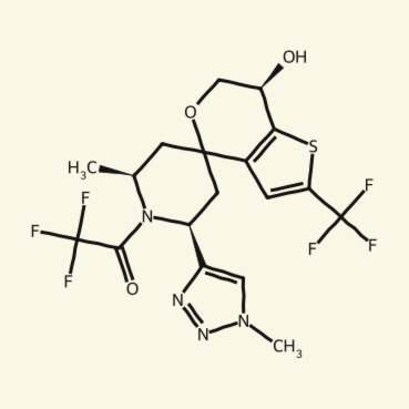 C[C@H]1CC2(C[C@@H](c3cn(C)nn3)N1C(=O)C(F)(F)F)OC[C@@H](O)c1sc(C(F)(F)F)cc12